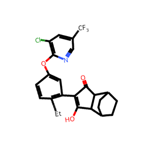 CCc1ccc(Oc2ncc(C(F)(F)F)cc2Cl)cc1C1=C(O)C2C3CCC(CC3)C2C1=O